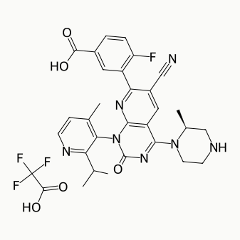 Cc1ccnc(C(C)C)c1-n1c(=O)nc(N2CCNC[C@@H]2C)c2cc(C#N)c(-c3cc(C(=O)O)ccc3F)nc21.O=C(O)C(F)(F)F